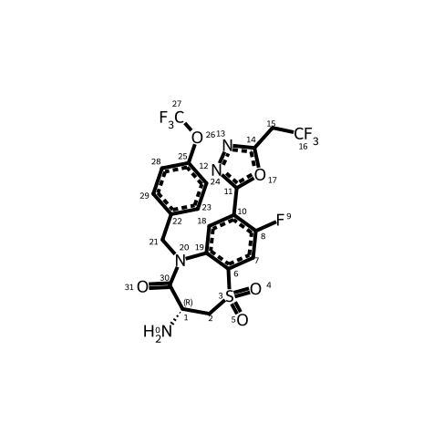 N[C@H]1CS(=O)(=O)c2cc(F)c(-c3nnc(CC(F)(F)F)o3)cc2N(Cc2ccc(OC(F)(F)F)cc2)C1=O